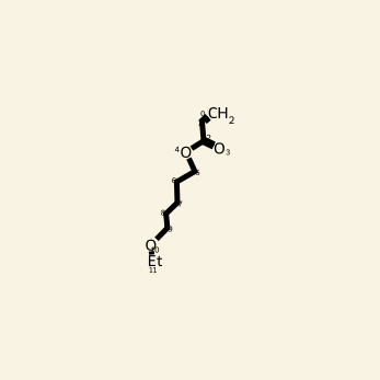 C=CC(=O)OCCCCCOCC